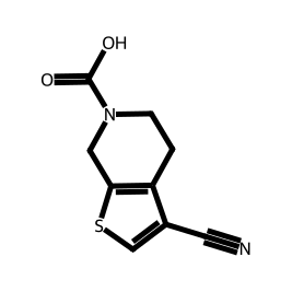 N#Cc1csc2c1CCN(C(=O)O)C2